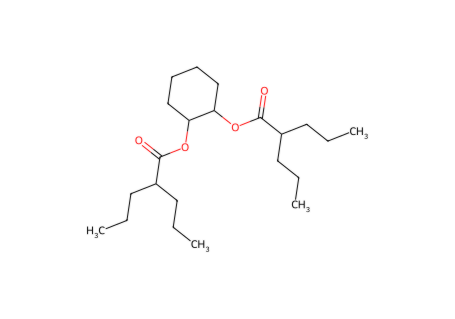 CCCC(CCC)C(=O)OC1CCCCC1OC(=O)C(CCC)CCC